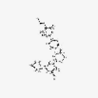 CCCC(=N)[C@@H](C)CC(=N)c1ccc([C@H]2CN(c3nc(-c4ccncc4)cc(=O)n3C)CCN2)cc1